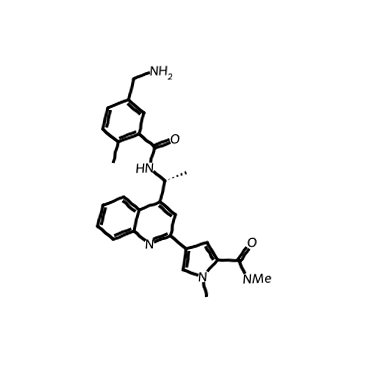 CNC(=O)c1cc(-c2cc([C@@H](C)NC(=O)c3cc(CN)ccc3C)c3ccccc3n2)cn1C